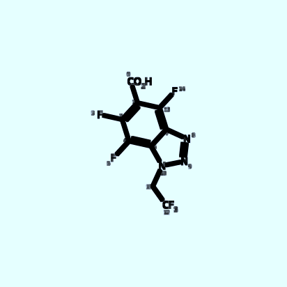 O=C(O)c1c(F)c(F)c2c(nnn2CC(F)(F)F)c1F